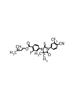 CN(C)CCOC(=O)c1ccc(N2C(=S)N(c3ccc(C#N)c(C(F)(F)F)c3)C(=O)C2(C)C)cc1F